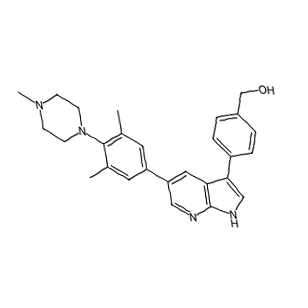 Cc1cc(-c2cnc3[nH]cc(-c4ccc(CO)cc4)c3c2)cc(C)c1N1CCN(C)CC1